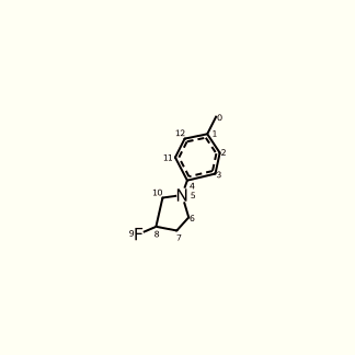 Cc1ccc(N2CCC(F)C2)cc1